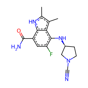 Cc1[nH]c2c(C(N)=O)cc(F)c(N[C@H]3CCN(C#N)C3)c2c1C